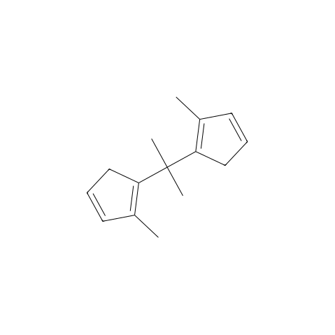 CC1=C(C(C)(C)C2=C(C)C=CC2)CC=C1